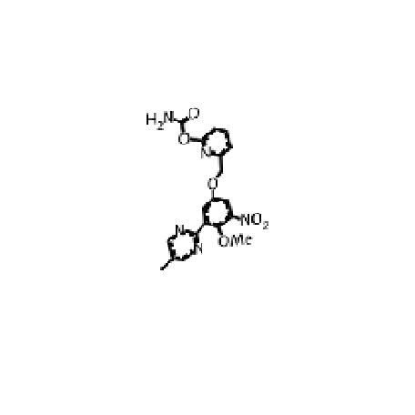 COc1c(-c2ncc(C)cn2)cc(OCc2cccc(OC(N)=O)n2)cc1[N+](=O)[O-]